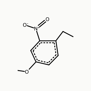 CCc1ccc(OC)cc1[N+](=O)[O-]